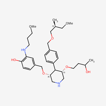 COCCCNc1cc(CO[C@H]2CNC[C@@H](OCCC(C)O)C2c2ccc(COC[C@@H](C)COC)cc2)ccc1O